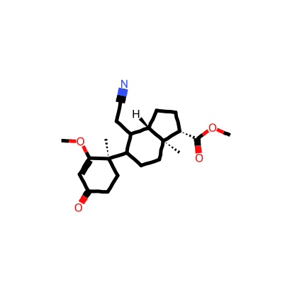 COC(=O)[C@H]1CC[C@H]2C(CC#N)C([C@@]3(C)CCC(=O)C=C3OC)CC[C@]12C